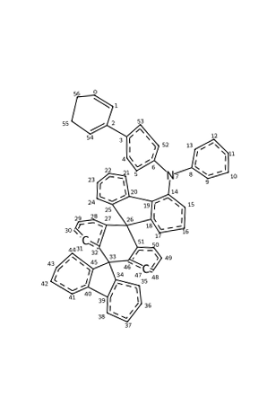 C1=CC(c2ccc(N(c3ccccc3)c3cccc4c3-c3ccccc3C43c4ccccc4C4(c5ccccc5-c5ccccc54)c4ccccc43)cc2)=CCC1